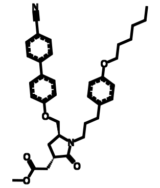 CCCCCCOc1ccc(CCCN2C(=O)[C@H](CC(=O)OC)C[C@H]2COc2ccc(-c3ccc(C#N)cc3)cc2)cc1